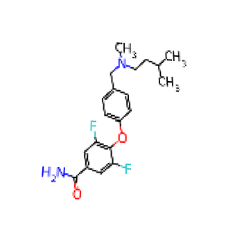 CC(C)CCN(C)Cc1ccc(Oc2c(F)cc(C(N)=O)cc2F)cc1